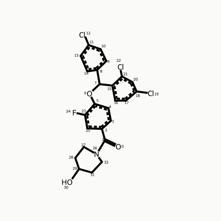 O=C(c1ccc(OC(c2ccc(Cl)cc2)c2ccc(Cl)cc2Cl)c(F)c1)N1CCC(O)CC1